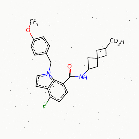 O=C(NC1CC2(C1)CC(C(=O)O)C2)c1ccc(F)c2ccn(Cc3ccc(OC(F)(F)F)cc3)c12